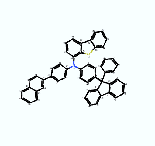 c1ccc(C2(c3ccc(N(c4ccc(-c5ccc6ccccc6c5)cc4)c4cccc5c4sc4ccccc45)cc3)c3ccccc3-c3ccccc32)cc1